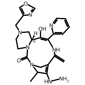 C=C1N/C(c2ccccn2)=C(/O)[C@H]2CN(Cc3cocn3)CCN2C(=O)N2CC1=C(NN)C2C